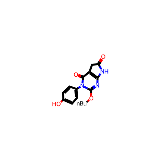 CCCCOc1nc2c(c(=O)n1-c1ccc(O)cc1)CC(=O)N2